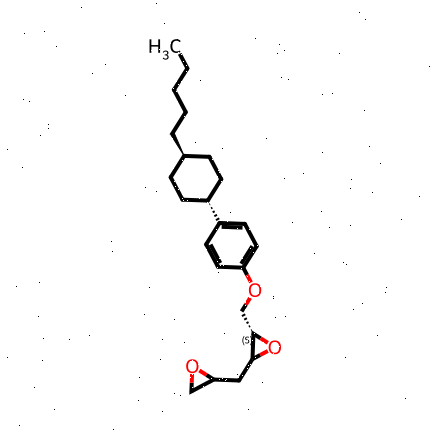 CCCCC[C@H]1CC[C@H](c2ccc(OC[C@@H]3OC3CC3CO3)cc2)CC1